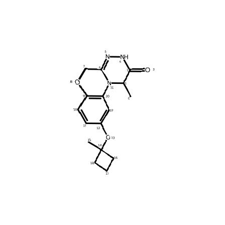 CC1C(=O)NN=C2COc3ccc(OC4(C)CCC4)cc3N21